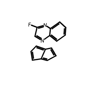 C1=CC2=CC=CC2=C1.Fc1cnc2ccccc2n1